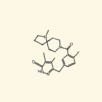 Cc1c(Cc2ccc(F)c(C(=O)N3CCC4(CCCN4C)CC3)c2)n[nH]c(=O)c1C